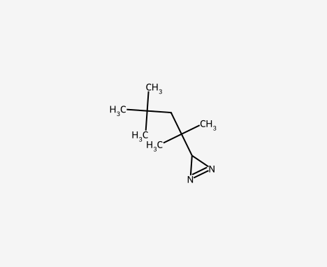 CC(C)(C)CC(C)(C)C1N=N1